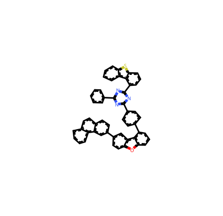 c1ccc(-c2nc(-c3ccc(-c4cccc5oc6ccc(-c7ccc8ccc9ccccc9c8c7)cc6c45)cc3)nc(-c3cccc4sc5ccccc5c34)n2)cc1